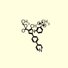 CCOC(=O)c1cc(-c2ccc(-c3ccncc3)cc2)n(-c2cccc(S(C)(=O)=O)c2)c1C